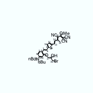 CCCCN(CCCC)c1ccc(/C=C/c2ccc(/C=C/C(C)=C(\C#N)C(OC)=C(C#N)C#N)s2)c(OCC(O)CBr)c1